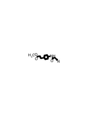 COC(=O)C=Cc1ccc(NC(=O)CC#N)cc1